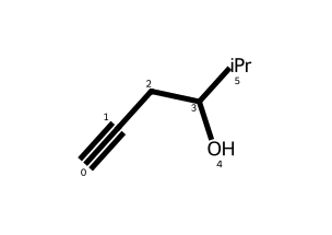 C#CCC(O)C(C)C